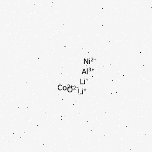 [Al+3].[Co+2].[Li+].[Li+].[Ni+2].[O-2]